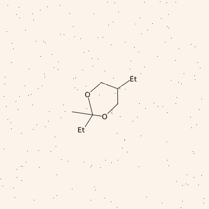 CC[C]1COC(C)(CC)OC1